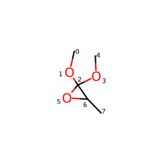 COC1(OC)OC1C